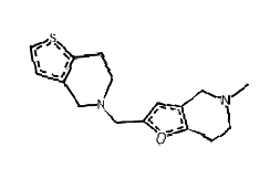 CN1CCc2oc(CN3CCc4sccc4C3)cc2C1